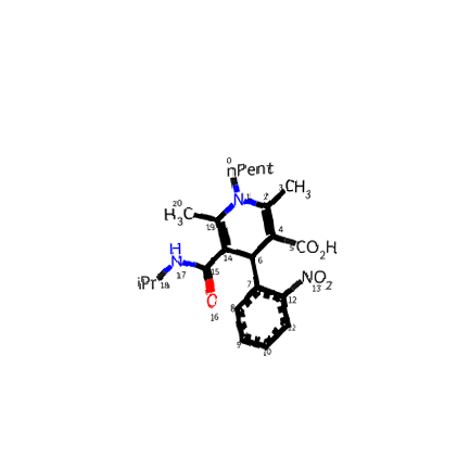 CCCCCN1C(C)=C(C(=O)O)C(c2ccccc2[N+](=O)[O-])C(C(=O)NC(C)C)=C1C